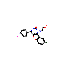 COCCn1c(=O)nc(-c2ccc([N+](=O)[O-])cc2)c2oc3ccc(Br)cc3c21